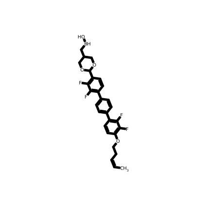 C/C=C\CCOc1ccc(-c2ccc(-c3ccc(C4OCC(CBO)CO4)c(F)c3F)cc2)c(F)c1F